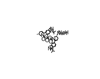 CC(C)n1ncc2cc(C3=CC[C@H](C)CN3C(=O)OC(=O)OC(=O)N3C[C@@H](C)CC=C3c3ccc4c(cnn4C(C)C)c3)ccc21.[NaH].[NaH]